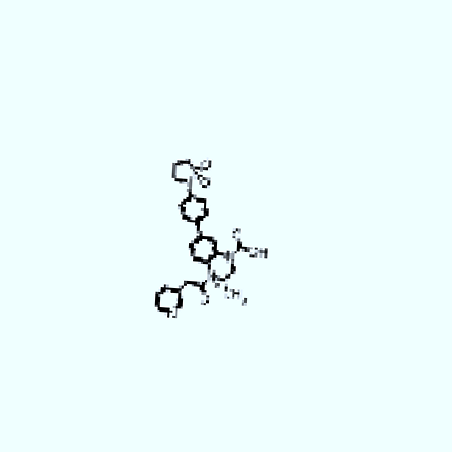 C[C@H]1CN(C(=O)O)c2cc(-c3ccc(N4CCCS4(=O)=O)cc3)ccc2N1C(=O)Cc1cccnc1